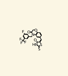 O=C1NC(=S)SC1=Cc1ccc2c(c1)N(Cc1cc(F)cc(C(F)(F)F)c1)C(=O)CO2